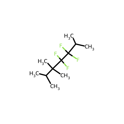 CC(C)C(C)(C)C(F)(F)C(F)(F)C(C)C